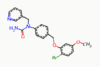 COc1ccc(Br)c(OCc2ccc(N(Cc3cccnc3)C(N)=O)cc2)c1